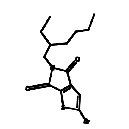 CCCCC(CC)CN1C(=O)c2cc(Br)sc2C1=O